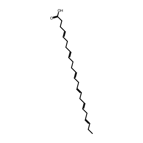 CCC=CCC=CCC=CCC=CCCC=CCCC=CCCC(=O)O